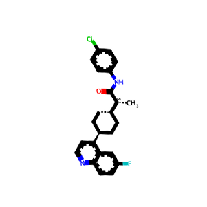 C[C@@H](C(=O)Nc1ccc(Cl)cc1)[C@H]1CC[C@H](c2ccnc3ccc(F)cc32)CC1